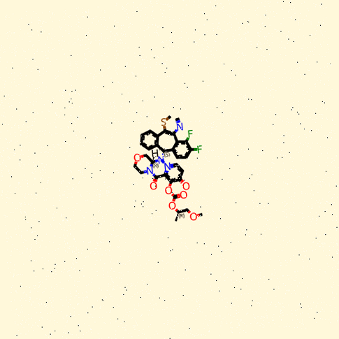 C=NC1=C(SC)c2ccccc2[C@@H](N2[C@@H]3COCCN3C(=O)c3c(OC(=O)O[C@H](C)COC)c(=O)ccn32)c2ccc(F)c(F)c21